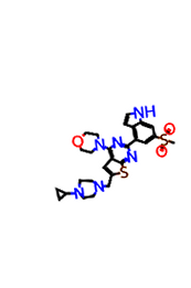 CS(=O)(=O)c1cc(-c2nc(N3CCOCC3)c3cc(CN4CCN(C5CC5)CC4)sc3n2)c2cc[nH]c2c1